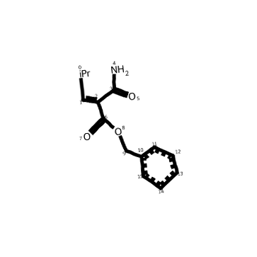 CC(C)C=C(C(N)=O)C(=O)OCc1ccccc1